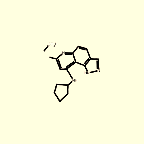 CS(=O)(=O)O.Cc1cc(NC2CCCC2)c2c(ccc3cn[nH]c32)n1